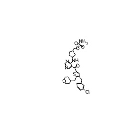 NS(=O)(=O)OC[C@@H]1CC[C@H](Nc2ncncc2C(=O)c2cc(Cc3cccc(Cl)c3)c(CC3CCOCC3)s2)C1